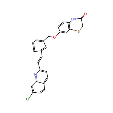 O=C1CSc2cc(OCc3cccc(C=Cc4ccc5ccc(Cl)cc5n4)c3)ccc2N1